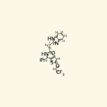 CC(C)C(NC(=O)C1CC1c1nc2ccccc2[nH]1)c1ccc(OCC(F)(F)F)s1